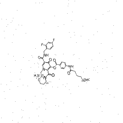 CCCCCCCCCCCCCC(=O)Nc1ccc(C(=O)Oc2c3n(cc(C(=O)NCc4ccc(F)cc4F)c2=O)C[C@]2(N)OCC[C@@H](C)N2C3=O)cc1